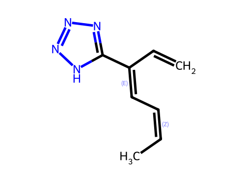 C=C/C(=C\C=C/C)c1nnn[nH]1